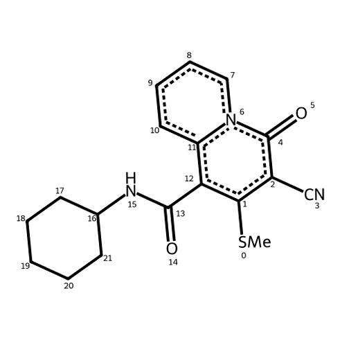 CSc1c(C#N)c(=O)n2ccccc2c1C(=O)NC1CCCCC1